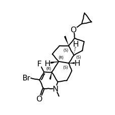 CN1C(=O)C(Br)=C(F)[C@@]2(C)C1CC[C@@H]1[C@H]2CC[C@]2(C)C(OC3CC3)CC[C@@H]12